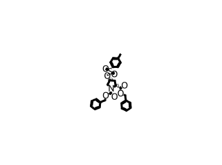 Cc1ccc(S(=O)(=O)O[C@H]2C[C@H](C(=O)OCc3ccccc3)N(C(=O)OCc3ccccc3)C2)cc1